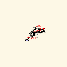 C/C=C(\C)C(=O)O[C@@]1(C)[C@H](O)[C@@H](C)[C@@]2(O)[C@@H](C=C(CO)C[C@]3(O)C(=O)C(C)=C[C@@H]23)[C@@H]1C